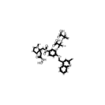 Cc1cc(COc2ccc(S(=O)(=O)CC3(CC(=O)NO)CCCN3C)cc2)c2ccccc2n1.O=C(O)C(F)(F)F.O=C(O)C(F)(F)F